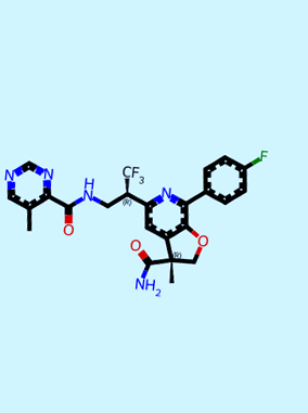 Cc1cncnc1C(=O)NC[C@H](c1cc2c(c(-c3ccc(F)cc3)n1)OC[C@]2(C)C(N)=O)C(F)(F)F